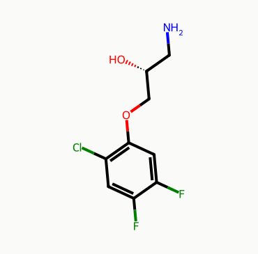 NC[C@@H](O)COc1cc(F)c(F)cc1Cl